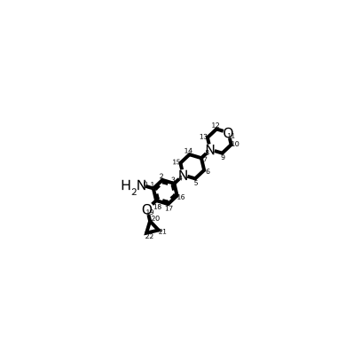 Nc1cc(N2CCC(N3CCOCC3)CC2)ccc1OC1CC1